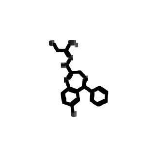 CC(CCl)=NNC1=Nc2ccc(Cl)cc2C(c2ccccc2)=NC1